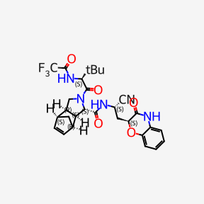 CC(C)(C)[C@H](NC(=O)C(F)(F)F)C(=O)N1C[C@H]2[C@@H]([C@H]1C(=O)N[C@H](C#N)C[C@@H]1Oc3ccccc3NC1=O)[C@H]1C=C[C@@H]2C1